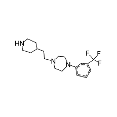 FC(F)(F)c1cccc(N2CCN(CCC3CCNCC3)CC2)c1